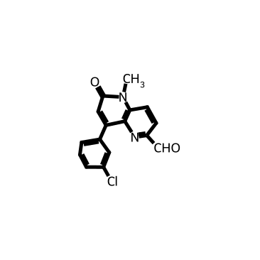 Cn1c(=O)cc(-c2cccc(Cl)c2)c2nc(C=O)ccc21